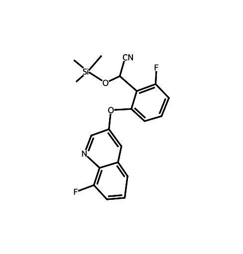 C[Si](C)(C)OC(C#N)c1c(F)cccc1Oc1cnc2c(F)cccc2c1